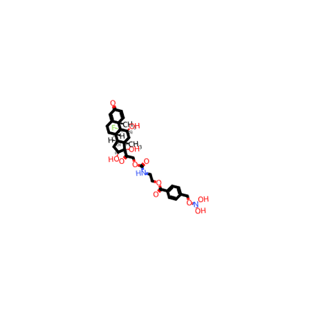 C[C@]12C=CC(=O)C=C1CC[C@H]1[C@@H]3C[C@@H](O)[C@](O)(C(=O)COC(=O)NCCOC(=O)c4ccc(CON(O)O)cc4)[C@@]3(C)C[C@H](O)[C@@]12F